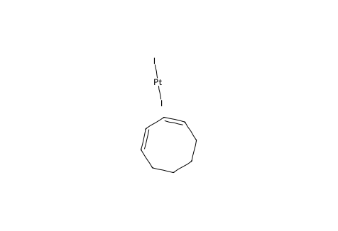 C1=CCCCCC=C1.[I][Pt][I]